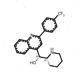 O[C@H](c1cc(-c2ccc(C(F)(F)F)cc2)nc2ccccc12)[C@H]1CCCCN1